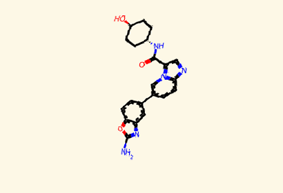 Nc1nc2cc(-c3ccc4ncc(C(=O)N[C@H]5CC[C@H](O)CC5)n4c3)ccc2o1